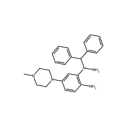 CN1CCN(c2ccc(N)c(N(N)C(c3ccccc3)c3ccccc3)c2)CC1